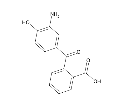 Nc1cc(C(=O)c2ccccc2C(=O)O)ccc1O